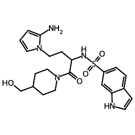 Nc1cccn1CCC(NS(=O)(=O)c1ccc2cc[nH]c2c1)C(=O)N1CCC(CO)CC1